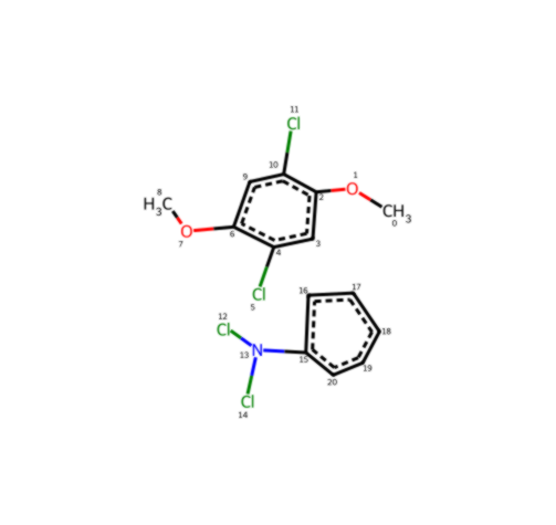 COc1cc(Cl)c(OC)cc1Cl.ClN(Cl)c1ccccc1